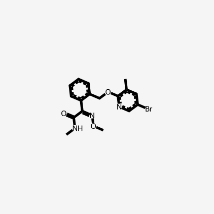 CNC(=O)/C(=N\OC)c1ccccc1COc1ncc(Br)cc1C